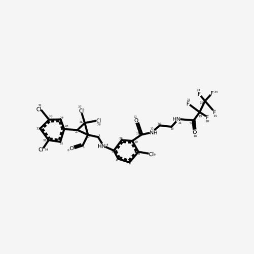 O=CC1(CNc2ccc(Cl)c(C(=O)NCCNC(=O)C(F)(F)C(F)(F)F)c2)C(c2cc(Cl)cc(Cl)c2)C1(Cl)Cl